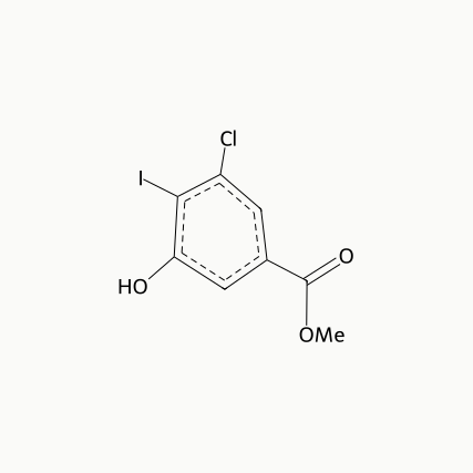 COC(=O)c1cc(O)c(I)c(Cl)c1